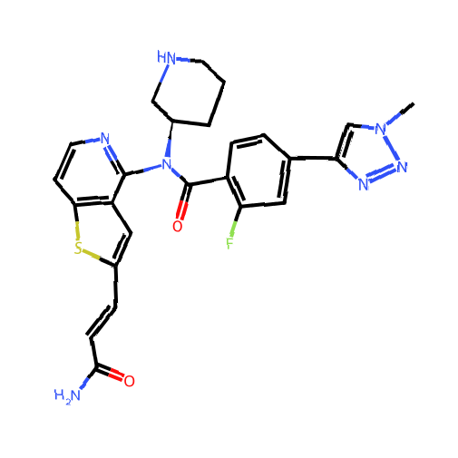 Cn1cc(-c2ccc(C(=O)N(c3nccc4sc(/C=C/C(N)=O)cc34)[C@@H]3CCCNC3)c(F)c2)nn1